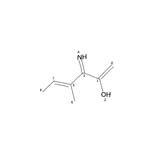 C=C(O)C(=N)/C(C)=C/C